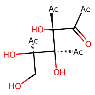 CC(=O)C(=O)[C@](O)(C(C)=O)[C@](O)(C(C)=O)[C@](O)(CO)C(C)=O